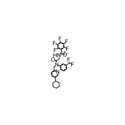 O=C(CN[S+]([O-])c1c(F)c(F)c(F)c(F)c1F)N(Cc1ccc(C2CCCCC2)cn1)c1cccc(C(F)F)c1